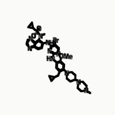 COc1cc(N2CCC(N3CCN(C)CC3)CC2)c(CC2CC2)cc1Nc1ncc(Br)c(Nc2ccc3nccnc3c2N(C)S(=O)(=O)C2CC2)n1